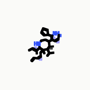 C=C/C=C\CC1(C)C(/C(C)=C/C)NCCC(C(/C=C\C)=C(/N)C2C=CC=C2)[C@@H](C)C1C(C)C